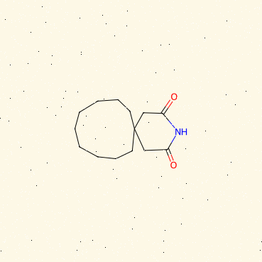 O=C1CC2(CCCCCCCCC2)CC(=O)N1